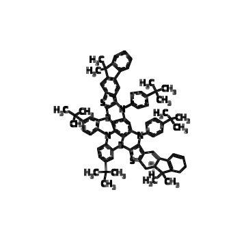 CC(C)(C)c1ccc(N2c3cc4c5c6c3B(c3cc(C(C)(C)C)ccc3N6c3ccc(C(C)(C)C)cc3B5c3sc5cc6c(cc5c3N4c3ccc(C(C)(C)C)cc3)-c3ccccc3C6(C)C)c3sc4c(c32)C=C2C3=C(CCC=C3)C(C)(C)[C@H]2C4)cc1